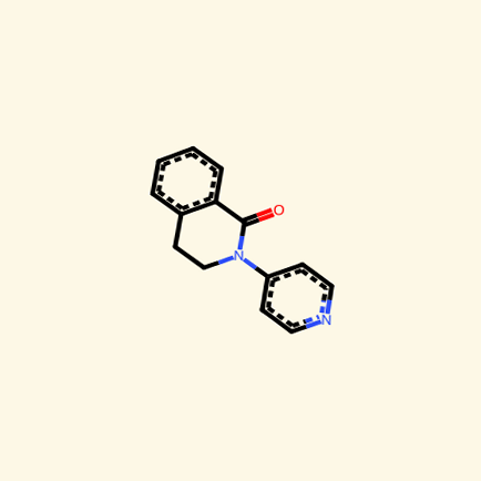 O=C1c2ccccc2CCN1c1ccncc1